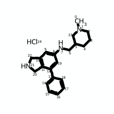 CN1CCCC(CNc2cc3c(c(-c4ccccc4)c2)CNC3)C1.Cl